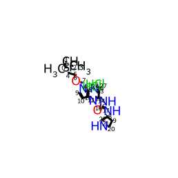 C[Si](C)(C)CCOCn1ccc2nc(NC(=O)NC3CCNC3)cnc21.Cl.Cl